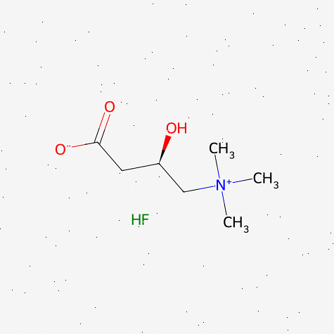 C[N+](C)(C)C[C@H](O)CC(=O)[O-].F